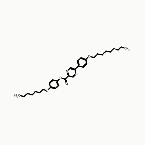 CCCCCCCCCOc1ccc(-c2cnc(C(=O)Oc3ccc(OCCCCCCC)cc3)cn2)cc1